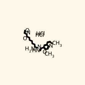 COc1cc2nc(C)ccc2cc1-c1c[nH]c(C(N)CCCCCC(=O)c2ccon2)n1.Cl.Cl